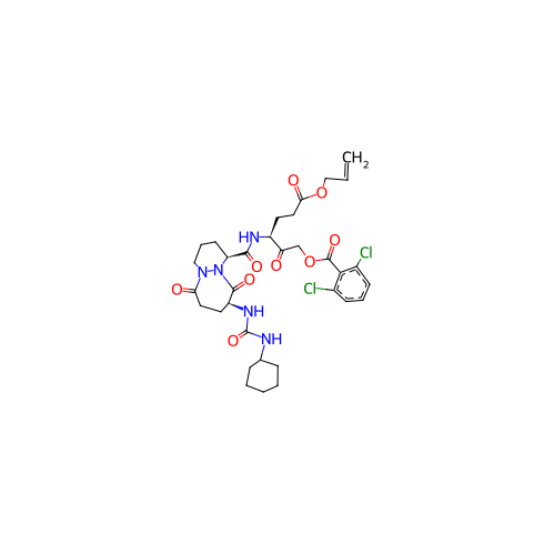 C=CCOC(=O)CC[C@H](NC(=O)[C@@H]1CCCN2C(=O)CC[C@H](NC(=O)NC3CCCCC3)C(=O)N12)C(=O)COC(=O)c1c(Cl)cccc1Cl